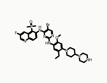 CCc1cc(Nc2ncc(Br)c(Nc3ccc4ncc(F)cc4c3P(C)(C)=O)n2)c(OC)cc1N1CCC(N2CCNCC2)CC1